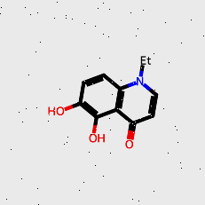 CCn1ccc(=O)c2c(O)c(O)ccc21